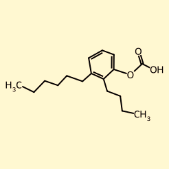 CCCCCCc1cccc(OC(=O)O)c1CCCC